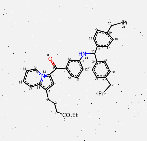 CCOC(=O)CCCc1cc(C(=O)c2cccc(NC(c3ccc(CC(C)C)cc3)c3ccc(CC(C)C)cc3)c2)n2ccccc12